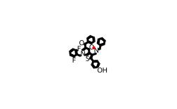 CN(Cc1ccccc1)Cc1c(-c2ccc(O)cc2)sc2c1c(=O)c(C(=O)c1ccccc1)cn2Cc1c(F)cccc1F